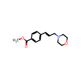 COC(=O)c1ccc(C=CCN2CCOCC2)cc1